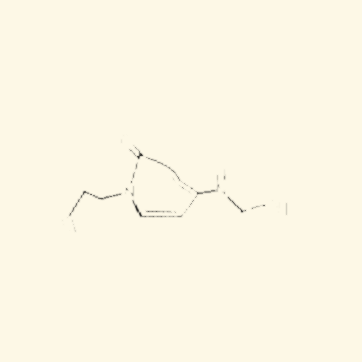 O=c1cc(NCO)ccn1CCl